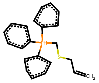 C=CCSC[PH](c1ccccc1)(c1ccccc1)c1ccccc1